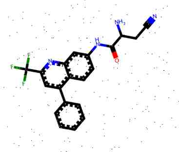 N#CCC(N)C(=O)Nc1ccc2c(-c3ccccc3)cc(C(F)(F)F)nc2c1